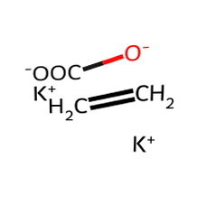 C=C.O=C([O-])[O-].[K+].[K+]